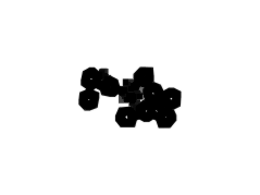 c1ccc(-c2nc(-c3ccc4c(c3)sc3cccc(-c5ccccc5)c34)nc(-n3c4ccccc4c4cc5c(cc43)C(c3ccccc3)(c3ccccc3)c3ccccc3-5)n2)cc1